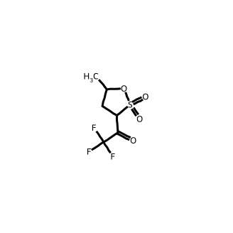 CC1CC(C(=O)C(F)(F)F)S(=O)(=O)O1